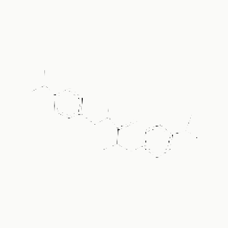 CC(Cc1ccc(C(C)C)cc1)C(=O)C(C)Cc1ccc(C(C)C)cc1